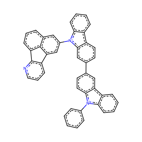 c1ccc(-n2c3ccccc3c3cc(-c4ccc5c6ccccc6n(-c6cc7c8c(cccc8c6)-c6ncccc6-7)c5c4)ccc32)cc1